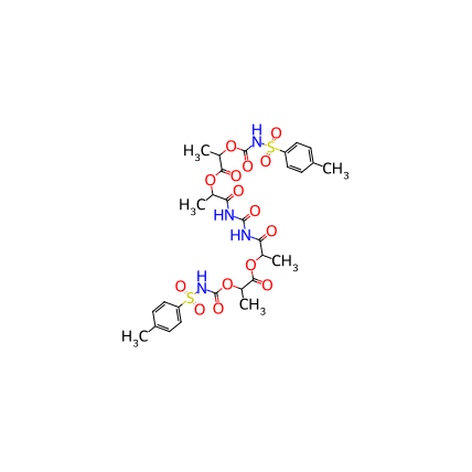 Cc1ccc(S(=O)(=O)NC(=O)OC(C)C(=O)OC(C)C(=O)NC(=O)NC(=O)C(C)OC(=O)C(C)OC(=O)NS(=O)(=O)c2ccc(C)cc2)cc1